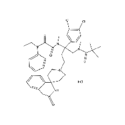 CCN(C(=O)C(=O)N(C)C(CCN1CCC2(CC1)NC(=O)Cc1ccccc12)(CN(C)C(=O)C(C)(C)C)c1ccc(Cl)c(Cl)c1)c1ccccc1.Cl